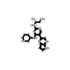 CC[C@H](CO)Nc1ncc(-c2cnc3[nH]ccc3n2)c(NC2CCCNC2)n1